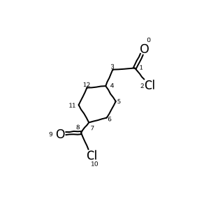 O=C(Cl)CC1CCC(C(=O)Cl)CC1